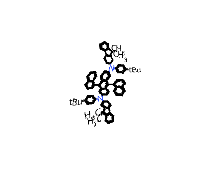 CC(C)(C)c1ccc(N(c2ccc3c(c2)C(C)(C)c2ccccc2-3)c2ccc3c(-c4cccc5ccccc45)c4cc(N(c5ccc(C(C)(C)C)cc5)C5C=CC6=C(C5)C(C)(C)c5ccccc56)ccc4c(-c4cccc5ccccc45)c3c2)cc1